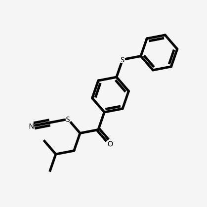 CC(C)CC(SC#N)C(=O)c1ccc(Sc2ccccc2)cc1